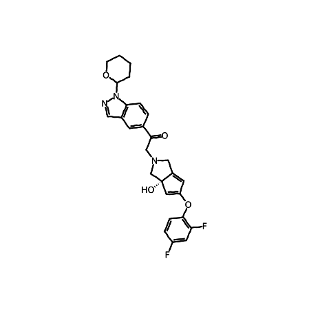 O=C(CN1CC2=CC(Oc3ccc(F)cc3F)=C[C@@]2(O)C1)c1ccc2c(cnn2C2CCCCO2)c1